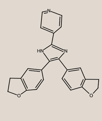 c1cc(-c2nc(-c3ccc4c(c3)CCO4)c(-c3ccc4c(c3)CCO4)[nH]2)ccn1